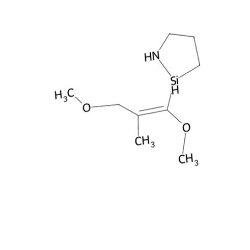 COCC(C)=C(OC)[SiH]1CCCN1